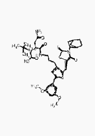 COc1cc(OC)cc(-c2cc(CCCNC(=O)[C@H](CC(N)=O)N(C(=O)O)C(C)(C)C)c(C=C3SC(=S)N(C4CC5CCC4C5)C3=O)o2)c1